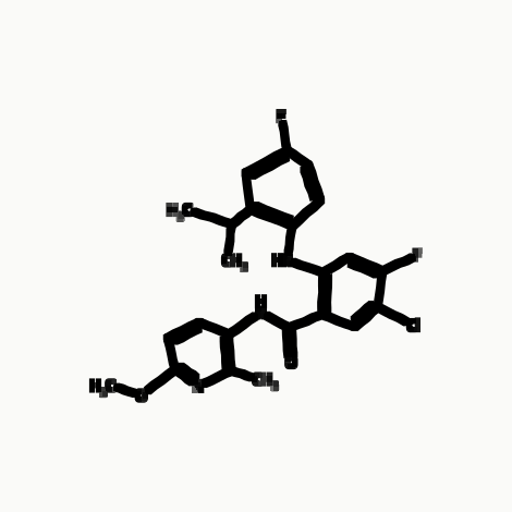 COc1ccc(NC(=O)c2cc(Cl)c(F)cc2Nc2ccc(F)cc2C(C)C)c(C)n1